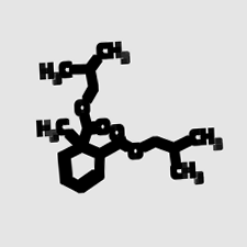 CC(C)COC(=O)C1C=CC=CC1(C)C(=O)OCC(C)C